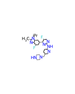 Cc1nc2c(F)cc(-c3nc(Nc4ccc(CN5CCNCC5)cn4)ncc3F)cc2n1C(C)C